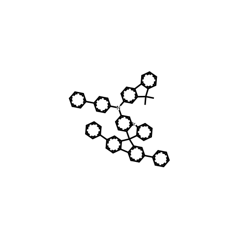 CC1(C)c2ccccc2-c2ccc(N(c3ccc(-c4ccccc4)cc3)c3ccc(C4(c5ccccc5Br)c5cc(-c6ccccc6)ccc5-c5ccc(-c6ccccc6)cc54)cc3)cc21